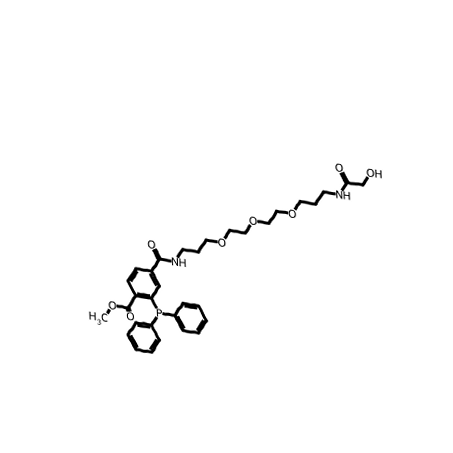 COC(=O)c1ccc(C(=O)NCCCOCCOCCOCCCNC(=O)CO)cc1P(c1ccccc1)c1ccccc1